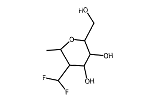 CC1OC(CO)C(O)C(O)C1C(F)F